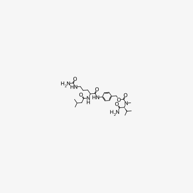 CC(C)CC(=O)NC(CCCNC(N)=O)C(=O)Nc1ccc(COC(=O)N(C)[C@H](C(N)=O)C(C)C)cc1